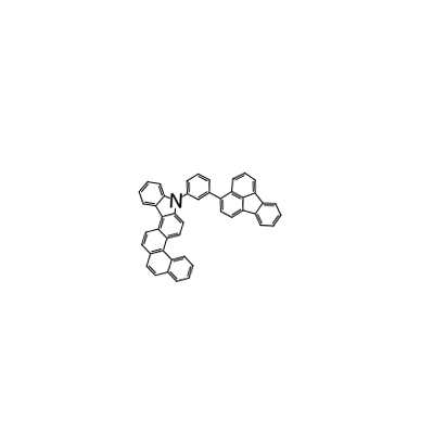 c1cc(-c2ccc3c4c(cccc24)-c2ccccc2-3)cc(-n2c3ccccc3c3c4ccc5ccc6ccccc6c5c4ccc32)c1